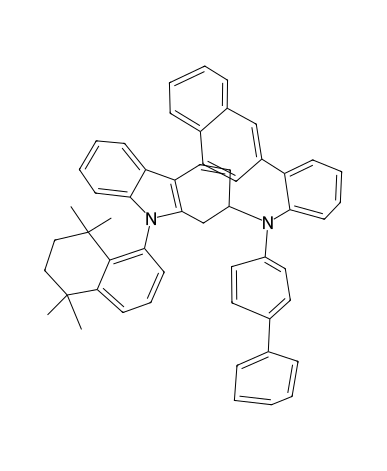 CC1(C)CCC(C)(C)c2c(-n3c4c(c5ccccc53)C=CC(N(c3ccc(-c5ccccc5)cc3)c3ccccc3-c3ccc5ccccc5c3)C4)cccc21